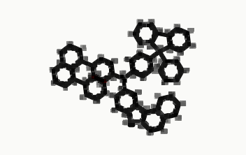 c1ccc(-c2cccc3cccc(-c4ccc(N(c5ccc(C6(c7ccccc7)c7ccccc7-c7ccccc76)cc5)c5ccc6oc7ccc8ccccc8c7c6c5)cc4)c23)cc1